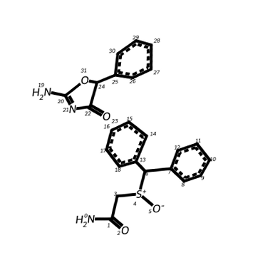 NC(=O)C[S+]([O-])C(c1ccccc1)c1ccccc1.NC1=NC(=O)C(c2ccccc2)O1